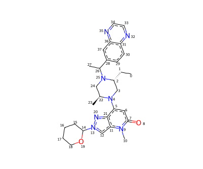 CC[C@@H]1CN(c2cc(=O)n(C)c3cn(C4CCCCO4)nc23)[C@@H](C)CN1C(C)c1ccc2nccnc2c1